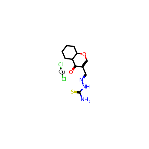 NC(=S)NN=CC1=COC2CCCCC2C1=O.[Cl][Cu][Cl]